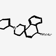 CC(=O)NC1CCC2(CCN(C3CCCCC3)CC2)c2ccccc21